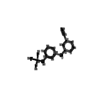 N#Cc1cccc(Oc2cccc(OC(F)(F)F)c2)c1